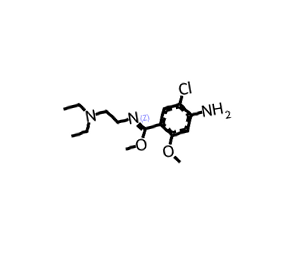 CCN(CC)CC/N=C(\OC)c1cc(Cl)c(N)cc1OC